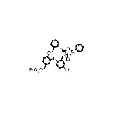 CCOC(=O)Cc1ccc(OCc2ccccc2)c(Oc2ccc(C(F)(F)F)cc2C[N+]2(CC)C[C@H](c3ccccc3)OC2=O)c1